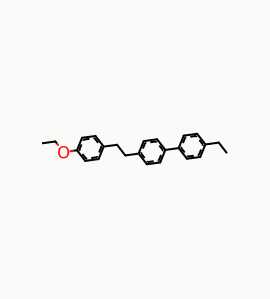 CCOc1ccc(CCc2ccc(-c3ccc(CC)cc3)cc2)cc1